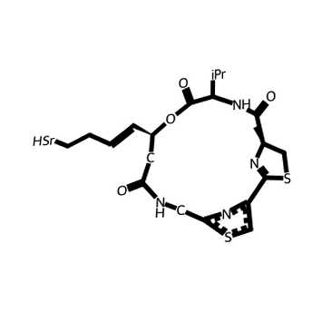 CC(C)C1NC(=O)[C@]2(C)CSC(=N2)c2csc(n2)CNC(=O)C[C@@H](/C=C/C[CH2][SrH])OC1=O